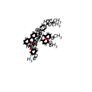 COc1ccc(CN(Cc2ccc(OC)cc2)S(=O)(=O)c2c(S(=O)(=O)N3CCN(C(=O)OC(C)(C)C)CC3)ccc(-c3cccc4nc(N)[nH]c34)c2-c2nnn(Cc3ccc(OC)cc3)n2)cc1